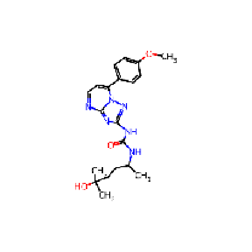 COc1ccc(-c2ccnc3nc(NC(=O)NC(C)CCC(C)(C)O)nn23)cc1